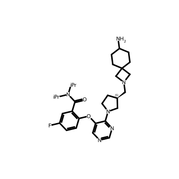 CC(C)N(C(=O)c1cc(F)ccc1Oc1cncnc1N1CC[C@@H](CN2CC3(CCC(N)CC3)C2)C1)C(C)C